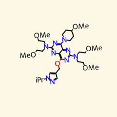 COCCN(CCOC)c1nc(N2CCC(OC)CC2)c2nc(N(CCOC)CCOC)nc(OCc3cnn(C(C)C)c3)c2n1